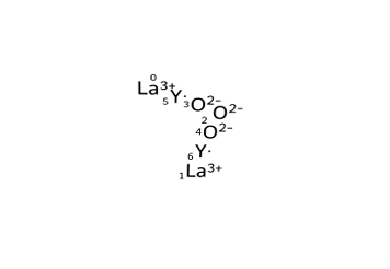 [La+3].[La+3].[O-2].[O-2].[O-2].[Y].[Y]